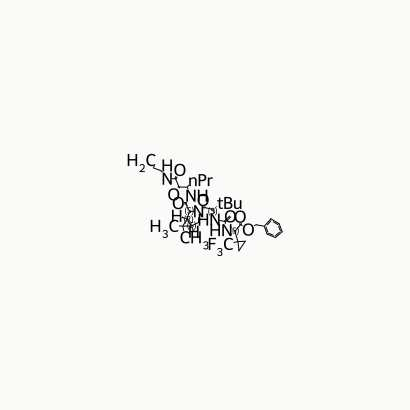 C=CCNC(=O)C(=O)C(CCC)NC(=O)[C@@H]1[C@@H]2[C@H](CN1C(=O)[C@@H](NC(=O)N[C@H](C(=O)OCc1ccccc1)C1(C(F)(F)F)CC1)C(C)(C)C)C2(C)C